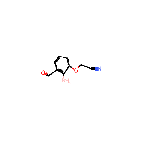 Bc1c(C=O)cccc1OCC#N